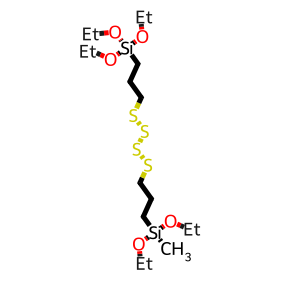 CCO[Si](C)(CCCSSSSCCC[Si](OCC)(OCC)OCC)OCC